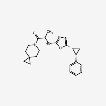 CC(Nc1nnc([C@@H]2C[C@H]2c2ccccc2)o1)C(=O)N1CCC2(CC1)CC2